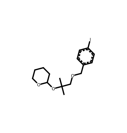 CC(C)(COCc1ccc(I)cc1)OC1CCCCO1